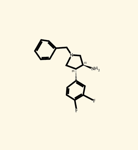 N[C@@H]1CN(Cc2ccccc2)C[C@H]1c1ccc(F)c(F)c1